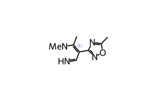 CN/C(C)=C(\C=N)c1noc(C)n1